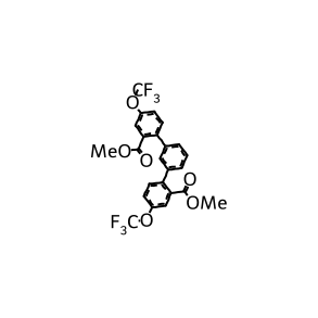 COC(=O)c1cc(OC(F)(F)F)ccc1-c1cccc(-c2ccc(OC(F)(F)F)cc2C(=O)OC)c1